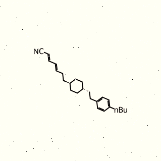 CCCCc1ccc(CC[C@H]2CC[C@H](CCC=CC=CC#N)CC2)cc1